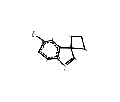 Brc1ccc2c(c1)C1(C=N2)CCC1